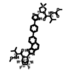 CON[C@H](C(=O)N1[C@H]2C[C@H]([C@H](F)[C@@H]2F)[C@@H]1c1nc2ccc3cc(-c4ccc(-c5cnc([C@@H]6C[Si](C)(C)CN6C(=O)[C@@H](NC(=O)OC)C(C)C)[nH]5)cc4)ccc3c2[nH]1)C(C)C